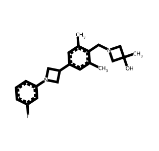 Cc1cc(C2CN(c3cccc(F)c3)C2)cc(C)c1CN1CC(C)(O)C1